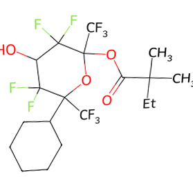 CCC(C)(C)C(=O)OC1(C(F)(F)F)OC(C2CCCCC2)(C(F)(F)F)C(F)(F)C(O)C1(F)F